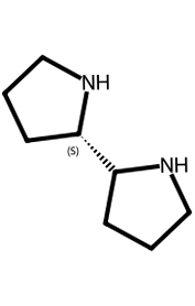 C1CNC([C@@H]2CCCN2)C1